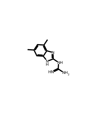 Cc1cc(C)c2nc(NC(=N)N)[nH]c2c1